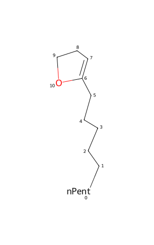 CCCCCCCCCCC1=CCCO1